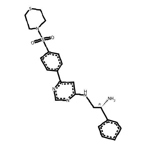 N[C@@H](CNc1cc(-c2ccc(S(=O)(=O)N3CCSCC3)cc2)ncn1)c1ccccc1